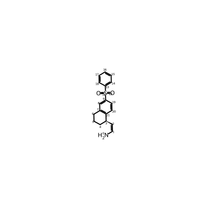 N/C=C\[C@H]1CCCc2cc(S(=O)(=O)c3ccccc3)ccc21